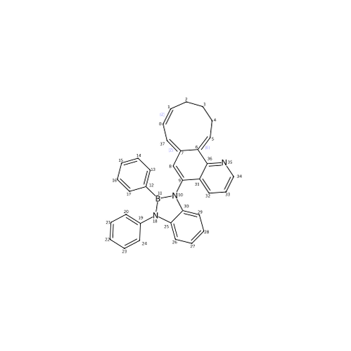 C1=C/CCC\C=c2/c(cc(N3B(c4ccccc4)N(c4ccccc4)c4ccccc43)c3cccnc23)=C\1